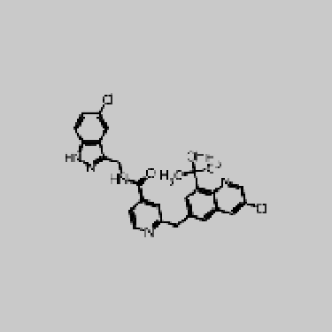 CC(C)(O)c1cc(Cc2cc(C(=O)NCc3n[nH]c4ccc(Cl)cc34)ccn2)cc2cc(Cl)cnc12